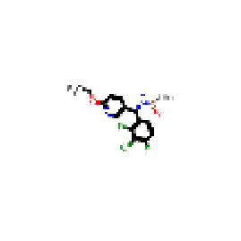 CC(C)(C)[S+]([O-])NC(c1ccc(OCC(F)(F)F)nc1)c1ccc(F)c(Cl)c1F